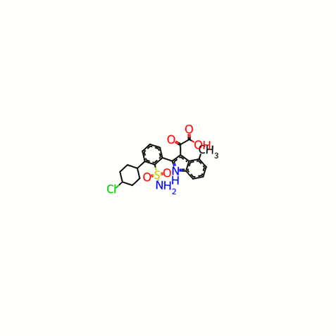 Cc1cccc2[nH]c(-c3cccc(C4CCC(Cl)CC4)c3S(N)(=O)=O)c(C(=O)C(=O)O)c12